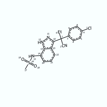 CCC(C#N)(c1ccc(Cl)cc1)c1n[nH]c2c(NS(C)(=O)=O)cccc12